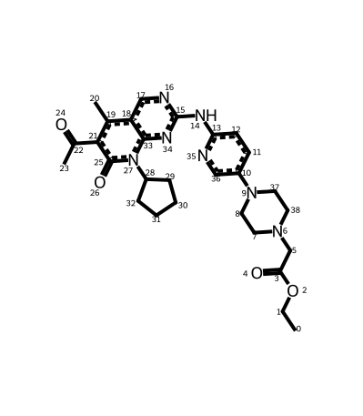 CCOC(=O)CN1CCN(c2ccc(Nc3ncc4c(C)c(C(C)=O)c(=O)n(C5CCCC5)c4n3)nc2)CC1